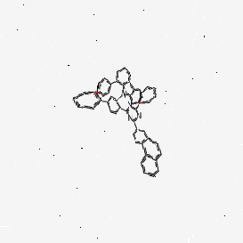 c1ccc(-c2ccc(-c3nc(-c4ccccc4)nc(-c4ccc5c(ccc6ccccc65)c4)n3)c(-n3c4ccccc4c4cccc(-c5ccccc5)c43)c2)cc1